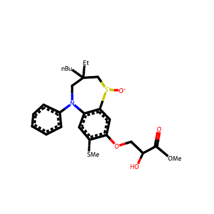 CCCCC1(CC)CN(c2ccccc2)c2cc(SC)c(OCC(O)C(=O)OC)cc2[S+]([O-])C1